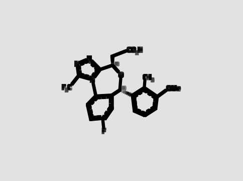 COc1cccc([C@H]2O[C@H](CC(=O)O)c3nnc(C(F)(F)F)n3-c3ccc(F)cc32)c1C